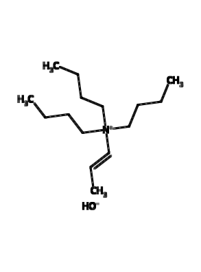 CC=C[N+](CCCC)(CCCC)CCCC.[OH-]